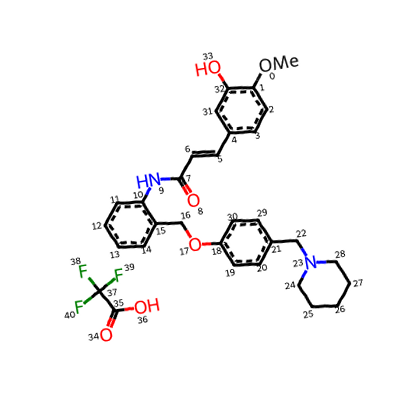 COc1ccc(C=CC(=O)Nc2ccccc2COc2ccc(CN3CCCCC3)cc2)cc1O.O=C(O)C(F)(F)F